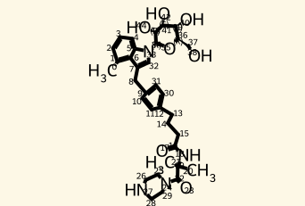 Cc1cccc2c1c(Cc1ccc(CCCC(=O)NC(C)(C)C(=O)N3CCNCC3)cc1)cn2[C@@H]1O[C@H](CO)[C@@H](O)[C@H](O)[C@H]1O